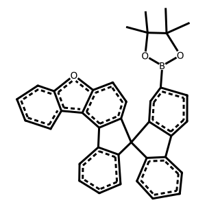 CC1(C)OB(c2ccc3c(c2)C2(c4ccccc4-3)c3ccccc3-c3c2ccc2oc4ccccc4c32)OC1(C)C